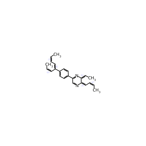 C\C=C/C=C(\C=C/C)c1ccc(-c2cnc(=C/C=C\C)/c(=C\C)n2)cc1